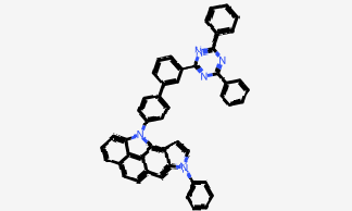 c1ccc(-c2nc(-c3ccccc3)nc(-c3cccc(-c4ccc(-n5c6cccc7ccc8cc9c(ccn9-c9ccccc9)c5c8c76)cc4)c3)n2)cc1